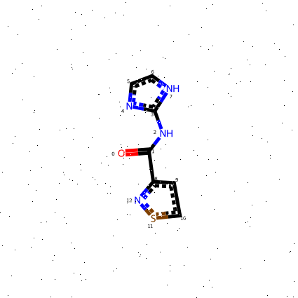 O=C(Nc1ncc[nH]1)c1ccsn1